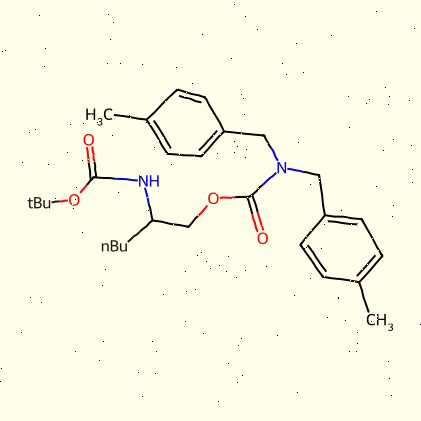 CCCCC(COC(=O)N(Cc1ccc(C)cc1)Cc1ccc(C)cc1)NC(=O)OC(C)(C)C